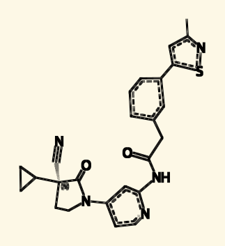 Cc1cc(-c2cccc(CC(=O)Nc3cc(N4CC[C@@](C#N)(C5CC5)C4=O)ccn3)c2)sn1